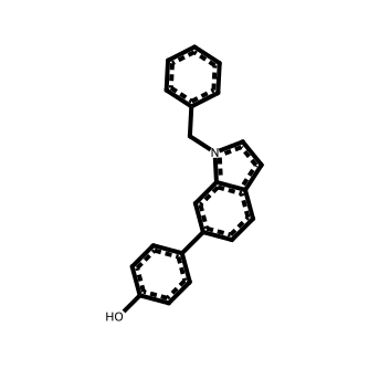 Oc1ccc(-c2ccc3ccn(Cc4ccccc4)c3c2)cc1